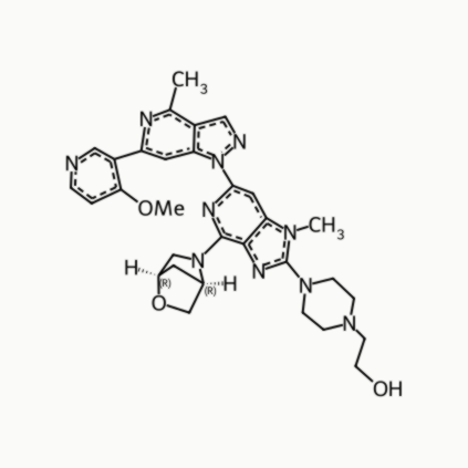 COc1ccncc1-c1cc2c(cnn2-c2cc3c(nc(N4CCN(CCO)CC4)n3C)c(N3C[C@H]4C[C@@H]3CO4)n2)c(C)n1